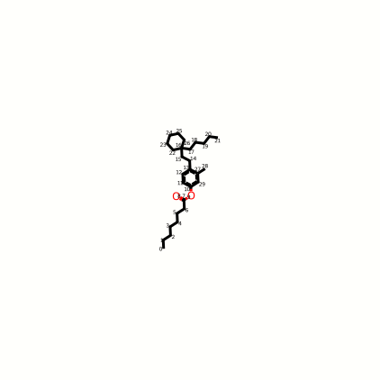 CCCCCCCC(=O)Oc1ccc(CCC2(CCCCC)CCCCC2)c(C)c1